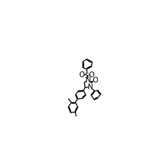 Cc1ccc(C)c(-c2ccc(C3CN(S(=O)(=O)c4ccccc4)C(=O)N3c3ccccc3)cc2)c1